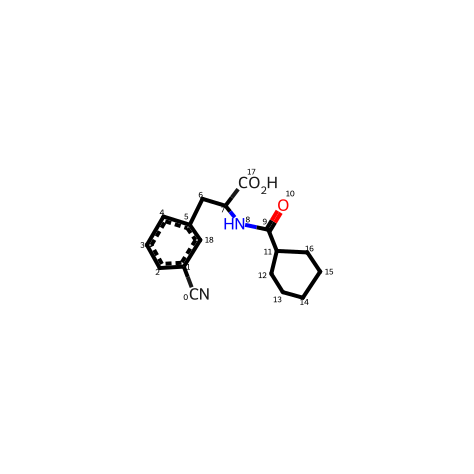 N#Cc1cccc(CC(NC(=O)C2CCCCC2)C(=O)O)c1